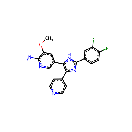 COc1cc(-c2[nH]c(-c3ccc(F)c(F)c3)nc2-c2ccncc2)cnc1N